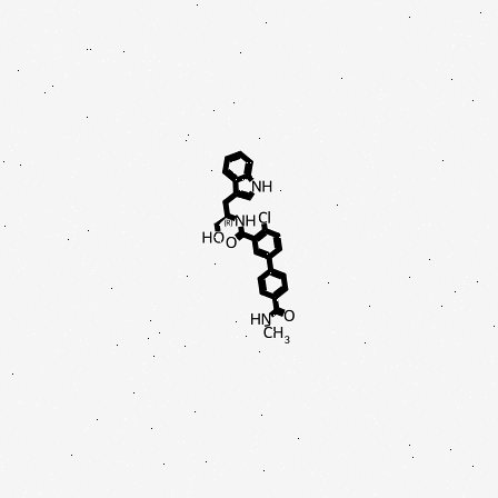 CNC(=O)c1ccc(-c2ccc(Cl)c(C(=O)N[C@@H](CO)Cc3c[nH]c4ccccc34)c2)cc1